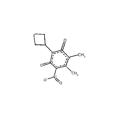 Cc1c([N+](=O)[O-])c(=O)n(C2CCC2)c(=O)n1C